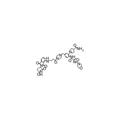 NC(=O)C1CCN(c2cc(CN3CCN(C(=O)CCCNc4cccc5c4C(=O)N(C4CCC(=O)NC4=O)C5=O)CC3)ccc2NC(=O)c2coc(N3CCOCC3)n2)CC1